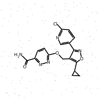 NC(=O)c1ccc(OCc2c(-c3ccc(Cl)nc3)noc2C2CC2)nn1